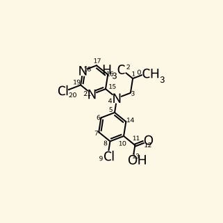 CC(C)CN(c1ccc(Cl)c(C(=O)O)c1)c1ccnc(Cl)n1